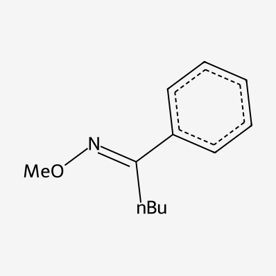 CCCC/C(=N\OC)c1ccccc1